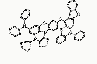 c1ccc(N(c2ccccc2)c2cc3c4c(c2)N(c2ccccc2)c2ccccc2B4c2cc4c(cc2S3)Sc2c3c(cc5oc6ccccc6c25)N(c2ccccc2)c2ccccc2B43)cc1